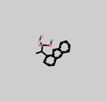 CCO[SiH](OCC)C(C)c1cccc2cc3ccccc3cc12